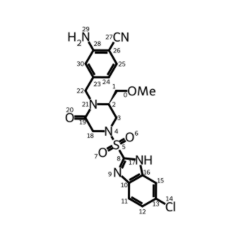 COC[C@H]1CN(S(=O)(=O)c2nc3ccc(Cl)cc3[nH]2)CC(=O)N1Cc1ccc(C#N)c(N)c1